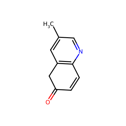 Cc1cnc2c(c1)CC(=O)C=C2